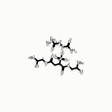 CCCCC(CC)COC(=O)CC(C(=O)OCC(CC)CCCC)S(=O)(=O)[O-].NC(=O)/N=N/C(N)=O.[Na+]